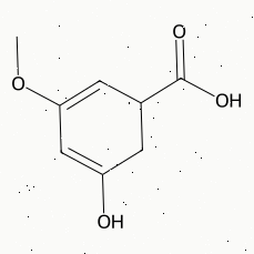 COC1=CC(C(=O)O)CC(O)=C1